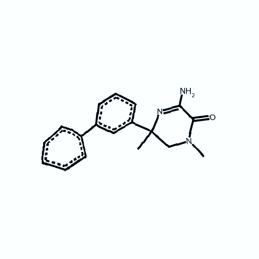 CN1CC(C)(c2cccc(-c3ccccc3)c2)N=C(N)C1=O